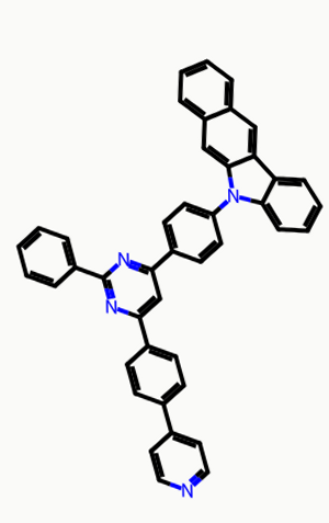 c1ccc(-c2nc(-c3ccc(-c4ccncc4)cc3)cc(-c3ccc(-n4c5ccccc5c5cc6ccccc6cc54)cc3)n2)cc1